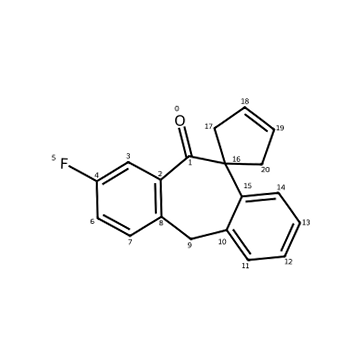 O=C1c2cc(F)ccc2Cc2ccccc2C12CC=CC2